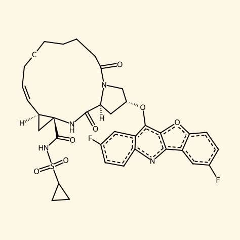 O=C1N[C@]2(C(=O)NS(=O)(=O)C3CC3)C[C@H]2/C=C\CCCCCCC(=O)N2C[C@H](Oc3c4cc(F)ccc4nc4c3oc3ccc(F)cc34)C[C@@H]12